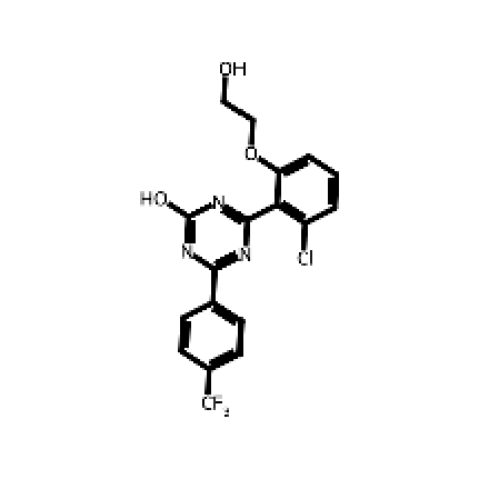 OCCOc1cccc(Cl)c1-c1nc(O)nc(-c2ccc(C(F)(F)F)cc2)n1